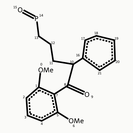 COc1cccc(OC)c1C(=O)C(CCCP=O)c1ccccc1